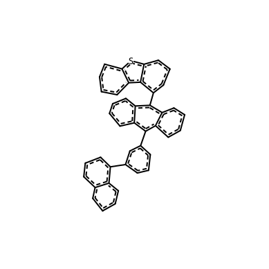 c1cc(-c2cccc3ccccc23)cc(-c2c3ccccc3c(-c3cccc4sc5ccccc5c34)c3ccccc23)c1